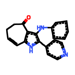 O=C1CCC=Cc2[nH]c(-c3ccncc3)c(Nc3ccccc3)c21